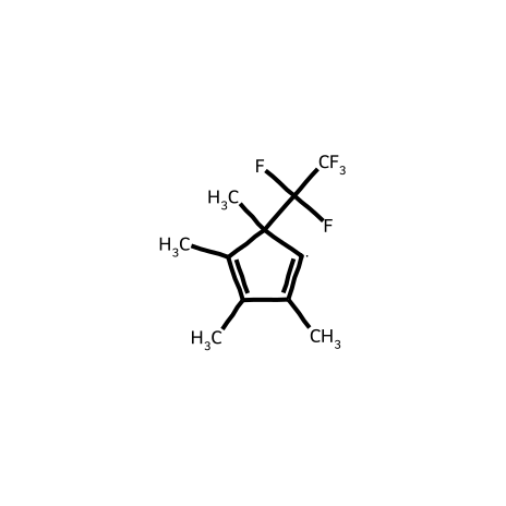 CC1=[C]C(C)(C(F)(F)C(F)(F)F)C(C)=C1C